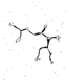 CC(C)C[C@@H](CO)N(C)/[N+]([O-])=N/OC(C)Cl